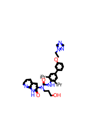 CC(C)c1cc(-c2cccc(OCCn3cncn3)c2)cc(C(C)C)c1NC(=O)N(CCCO)c1cc2cccnc2[nH]c1=O